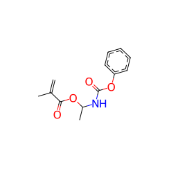 C=C(C)C(=O)OC(C)NC(=O)Oc1ccccc1